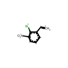 C=Cc1cccc([N+](=O)[O-])c1Br